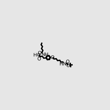 CCCCCC(=O)NC(Cc1ccc(OCCCCCCNC(=O)OC(C)(C)C)cc1)C(=O)O